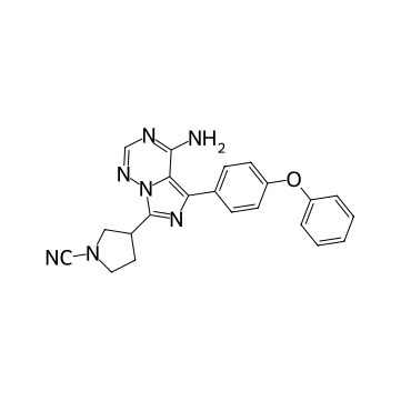 N#CN1CCC(c2nc(-c3ccc(Oc4ccccc4)cc3)c3c(N)ncnn23)C1